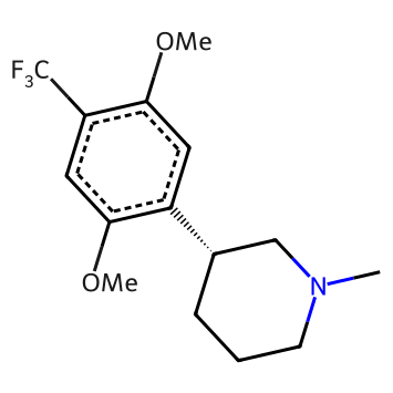 COc1cc(C(F)(F)F)c(OC)cc1[C@H]1CCCN(C)C1